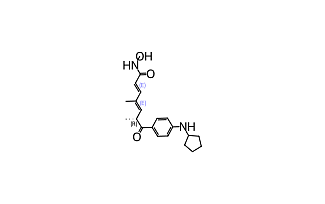 CC(/C=C/C(=O)NO)=C\[C@@H](C)C(=O)c1ccc(NC2CCCC2)cc1